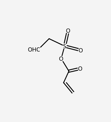 C=CC(=O)OS(=O)(=O)CC=O